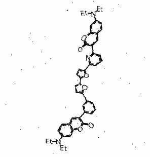 CCN(CC)c1ccc2cc(-c3cccc(-c4ccc(-c5ccc(-c6cccc(-c7cc8ccc(N(CC)CC)cc8oc7=O)n6)o5)o4)c3)c(=O)oc2c1